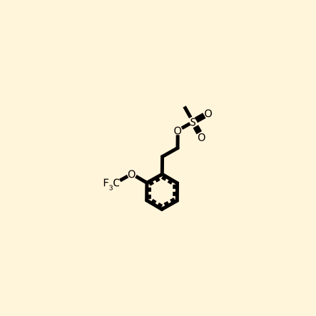 CS(=O)(=O)OCCc1ccccc1OC(F)(F)F